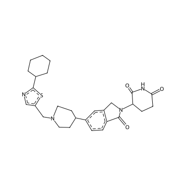 O=C1CCC(N2Cc3cc(C4CCN(Cc5cnc(C6CCCCC6)s5)CC4)ccc3C2=O)C(=O)N1